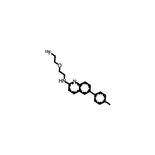 Cc1ccc(-c2ccc3nc(NCCOCC[18F])ccc3c2)cc1